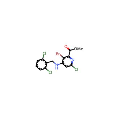 COC(=O)c1nc(Cl)cc(NCc2c(Cl)cccc2Cl)c1Br